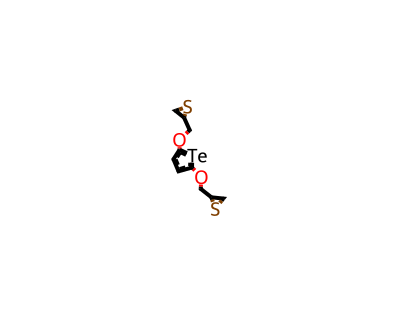 c1cc(OCC2CS2)[te]c1OCC1CS1